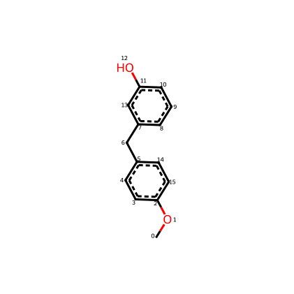 COc1ccc(Cc2cccc(O)c2)cc1